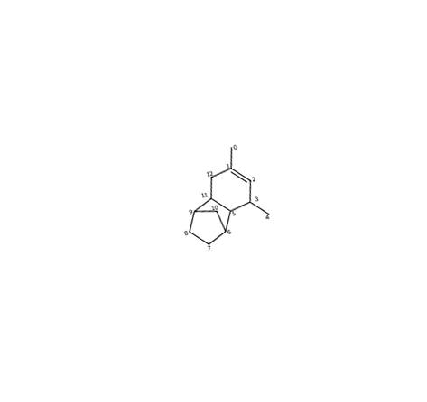 CC1=CC(C)C2C3CCC(C3)C2C1